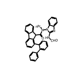 CCCN(C(=O)C1c2ccccc2-c2cccc(-c3ccccc3-c3ccccc3)c21)n1c(NC=O)nc2ccccc21